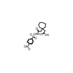 O=C(O)CC1(CC(=O)NOS(=O)(=O)c2ccc([N+](=O)[O-])cc2)CCCCCC1